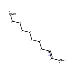 CCCCCCCCC/C=C/CCCCCCCCCCCCCCCCC